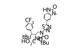 Cn1c(=O)[nH]c2ccc(-c3nnc(N(CC(NC(=O)O)[C@H](c4ccc(C(F)(F)F)cc4)C(C)(C)C)C(=O)OC(C)(C)C)s3)cc21